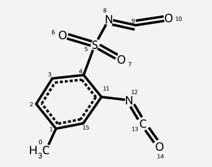 Cc1ccc(S(=O)(=O)N=C=O)c(N=C=O)c1